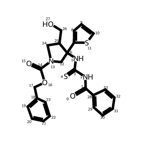 O=C(NC(=S)NC1(c2cccs2)CN(C(=O)OCc2ccccc2)CC1CO)c1ccccc1